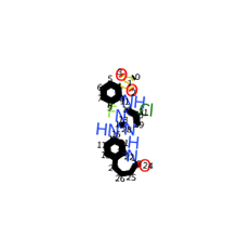 CS(=O)(=O)c1cccc(F)c1Nc1nc(Nc2ccc3c(c2)NC(=O)CCC3)ncc1Cl